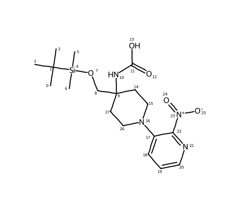 CC(C)(C)[Si](C)(C)OCC1(NC(=O)O)CCN(c2cccnc2[N+](=O)[O-])CC1